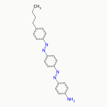 CCCCc1ccc(N=Nc2ccc(N=Nc3ccc(N)cc3)cc2)cc1